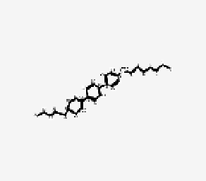 CCCCCCCOc1ccc(-c2ccc(C3CCC(CCCCC)CC3)cc2)cc1